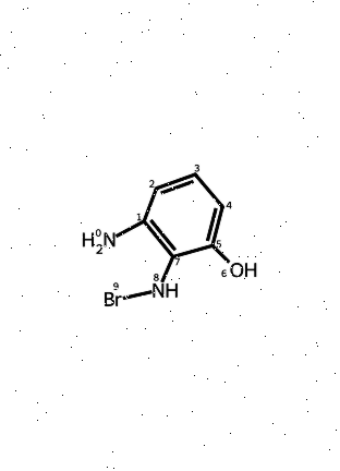 Nc1cccc(O)c1NBr